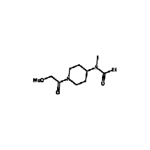 CCC(=O)N(I)C1CCN(C(=O)COC)CC1